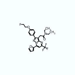 CCN(CC)C(=O)Cc1c(-c2ccc(OCCF)cc2)nn2c(-c3ccco3)cc(C(F)(F)F)nc12